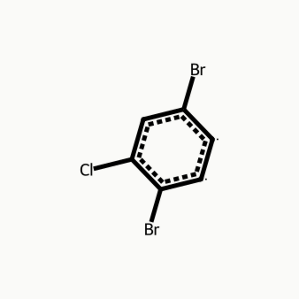 Clc1cc(Br)[c][c]c1Br